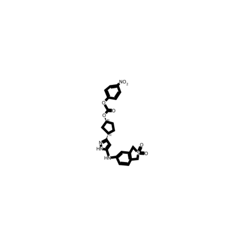 O=C(Oc1ccc([N+](=O)[O-])cc1)O[C@@H]1CC[C@H](c2cc(Nc3ccc4c(c3)CS(=O)(=O)C4)[nH]n2)C1